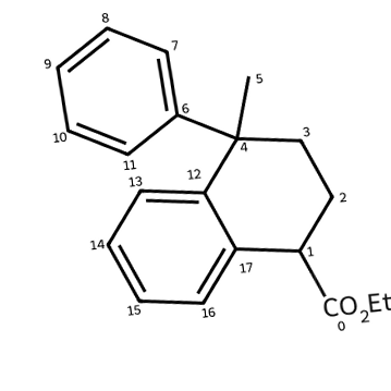 CCOC(=O)C1CCC(C)(c2ccccc2)c2ccccc21